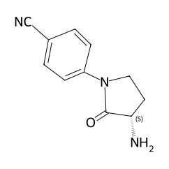 N#Cc1ccc(N2CC[C@H](N)C2=O)cc1